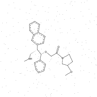 CNC[C@H](c1ccc2ccccc2c1)[C@H](OCC(=O)N1CCC(OC)C1)c1ccccc1